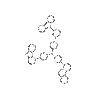 c1cc(-c2ccc(N(c3ccc(-c4cccc5c4ccc4ccccc45)cc3)c3ccc(-c4cccc5oc6ccccc6c45)cc3)cc2)cc(-n2c3ccccc3c3ccccc32)c1